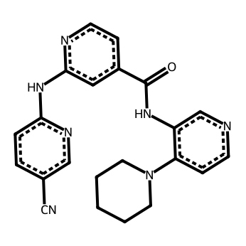 N#Cc1ccc(Nc2cc(C(=O)Nc3cnccc3N3CCCCC3)ccn2)nc1